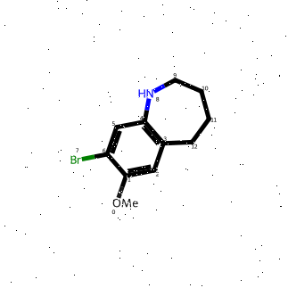 COc1cc2c(cc1Br)NCCCC2